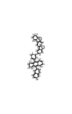 c1cc(-c2ccc3oc4cc5oc6ccccc6c5cc4c3c2)cc(-c2c3ccccc3c(-c3ccc4ccccc4c3)c3ccccc23)c1